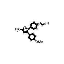 COc1ccc(-c2cc(C(F)(F)F)nn2-c2ccc(OCC#N)cc2)cc1